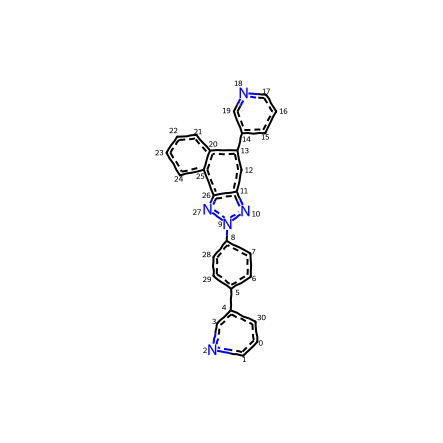 c1cncc(-c2ccc(-n3nc4cc(-c5cccnc5)c5ccccc5c4n3)cc2)c1